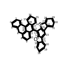 c1ccc2c(c1)Cc1cccc3c(-c4c5oc6ccccc6c5cc5c4sc4ccccc45)c4ccccc4c-2c13